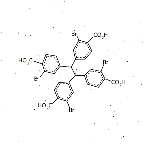 O=C(O)c1ccc(C(c2ccc(C(=O)O)c(Br)c2)C(c2ccc(C(=O)O)c(Br)c2)c2ccc(C(=O)O)c(Br)c2)cc1Br